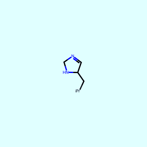 CC(C)CC1C=NCN1